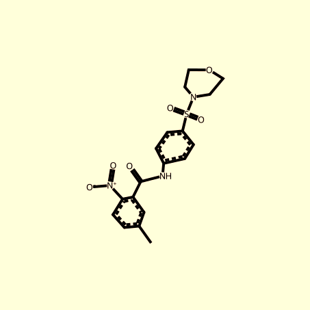 Cc1ccc([N+](=O)[O-])c(C(=O)Nc2ccc(S(=O)(=O)N3CCOCC3)cc2)c1